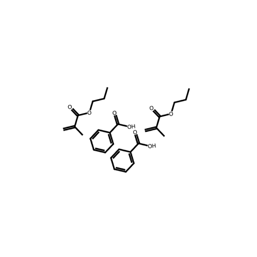 C=C(C)C(=O)OCCC.C=C(C)C(=O)OCCC.O=C(O)c1ccccc1.O=C(O)c1ccccc1